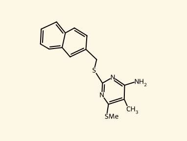 CSc1nc(SCc2ccc3ccccc3c2)nc(N)c1C